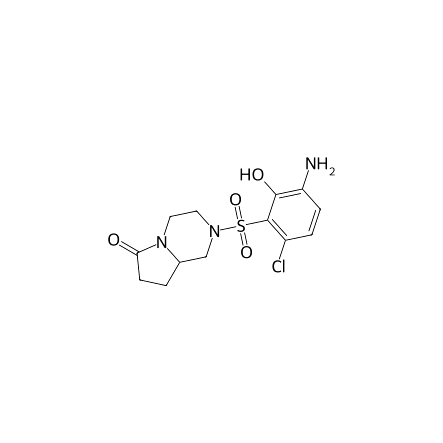 Nc1ccc(Cl)c(S(=O)(=O)N2CCN3C(=O)CCC3C2)c1O